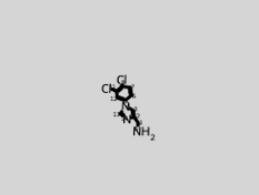 NCc1cn(-c2ccc(Cl)c(Cl)c2)cn1